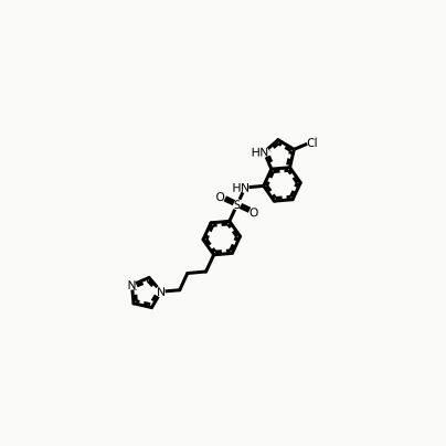 O=S(=O)(Nc1cccc2c(Cl)c[nH]c12)c1ccc(CCCn2ccnc2)cc1